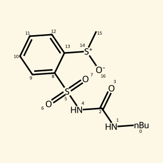 CCCCNC(=O)NS(=O)(=O)c1ccccc1[S+](C)[O-]